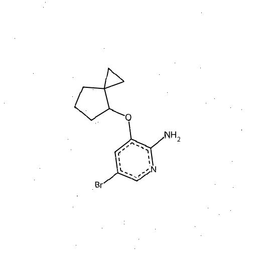 Nc1ncc(Br)cc1OC1CCCC12CC2